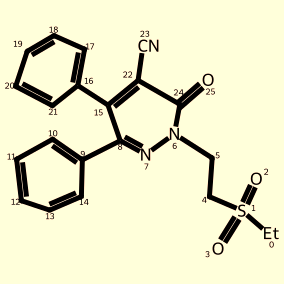 CCS(=O)(=O)CCn1nc(-c2ccccc2)c(-c2ccccc2)c(C#N)c1=O